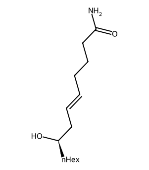 CCCCCC[C@@H](O)C/C=C/CCCC(N)=O